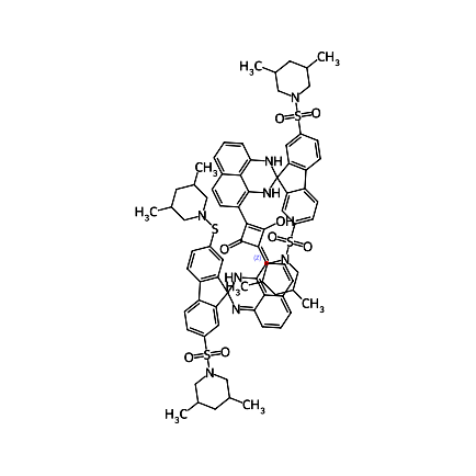 CC1CC(C)CN(Sc2ccc3c(c2)C2(N=c4cccc5cc/c(=C6/C(=O)C(c7ccc8cccc9c8c7NC7(N9)c8cc(S(=O)(=O)N9CC(C)CC(C)C9)ccc8-c8ccc(S(=O)(=O)N9CC(C)CC(C)C9)cc87)=C6O)c(c45)N2)c2cc(S(=O)(=O)N4CC(C)CC(C)C4)ccc2-3)C1